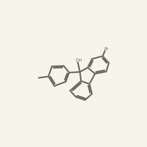 Cc1ccc(C2(O)c3ccccc3-c3ccc(Br)cc32)cc1